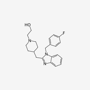 OCCN1CCC(Cc2nc3ccccc3n2Cc2ccc(F)cc2)CC1